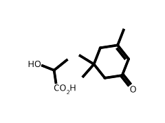 CC(O)C(=O)O.CC1=CC(=O)CC(C)(C)C1